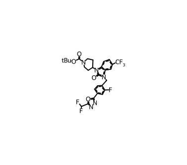 CC(C)(C)OC(=O)N1CCC(n2c(=O)n(Cc3ccc(-c4nnc(C(F)F)o4)cc3F)c3cc(C(F)(F)F)ccc32)CC1